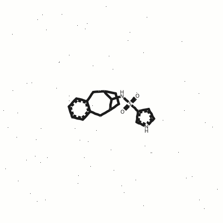 O=S(=O)(NC1C2CCC1Cc1ccccc1C2)c1cc[nH]c1